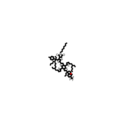 CCCCCCCCN1C(=O)c2sc3c(-c4cc5c(-c6ccc(CC(CC)CCCC)s6)c6sc(C(CC=C(C)C)(CCC)c7ccc(C(F)(F)F)cc7)cc6c(-c6ccc(CC(CC)CCCC)s6)c5s4)sc(C(CC)(CCCCC)c4ccc(C)cc4)c3c2C1=O